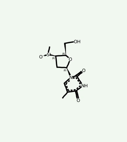 Cc1cn([C@H]2C[C@@H]([S+](C)[O-])[C@@H](CO)O2)c(=O)[nH]c1=O